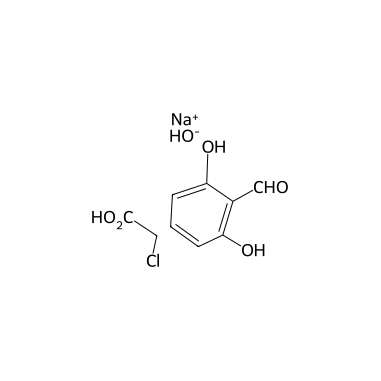 O=C(O)CCl.O=Cc1c(O)cccc1O.[Na+].[OH-]